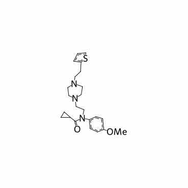 COc1ccc(N(CCN2CCN(CCc3cccs3)CC2)C(=O)C2CC2)cc1